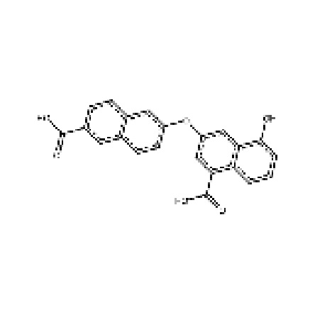 O=C(O)c1ccc2cc(Oc3cc(C(=O)O)c4cccc(O)c4c3)ccc2c1